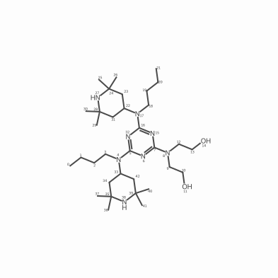 CCCCN(c1nc(N(CCO)CCO)nc(N(CCCC)C2CC(C)(C)NC(C)(C)C2)n1)C1CC(C)(C)NC(C)(C)C1